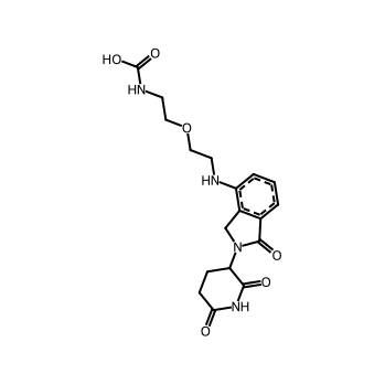 O=C(O)NCCOCCNc1cccc2c1CN(C1CCC(=O)NC1=O)C2=O